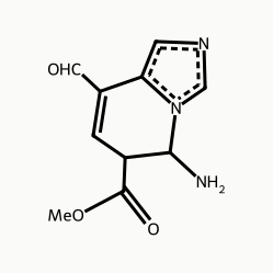 COC(=O)C1C=C(C=O)c2cncn2C1N